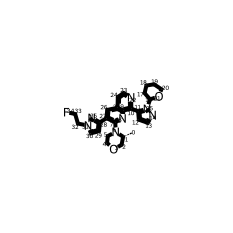 C[C@@H]1COCCN1c1nc2c(-c3ccnn3C3CCCCO3)nccc2cc1-c1ccn(CCF)n1